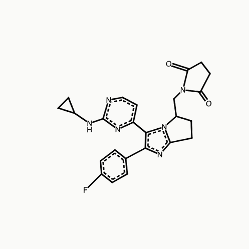 O=C1CCC(=O)N1CC1CCc2nc(-c3ccc(F)cc3)c(-c3ccnc(NC4CC4)n3)n21